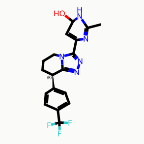 CC1=NC(c2nnc3n2CCC[C@@H]3c2ccc(C(F)(F)F)cc2)=CC(O)N1